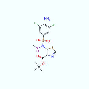 CPN(c1scnc1C(=O)OC(C)(C)C)S(=O)(=O)c1cc(F)c(N)c(F)c1